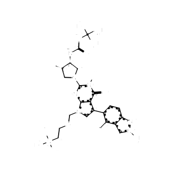 C[C@@H]1CN(c2nc3c(c(-c4ccc5nn(C)cc5c4Cl)cn3COCC[Si](C)(C)C)c(=O)n2C)C[C@@H]1NC(=O)OC(C)(C)C